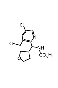 O=C(O)NC(c1ncc(Cl)cc1CCl)C1CCOC1